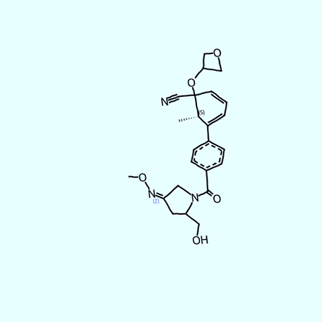 CO/N=C1/CC(CO)N(C(=O)c2ccc(C3=CC=CC(C#N)(OC4COC4)[C@H]3C)cc2)C1